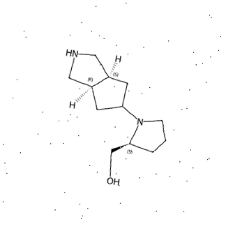 OC[C@@H]1CCCN1C1C[C@H]2CNC[C@H]2C1